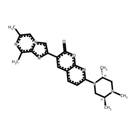 Cc1cn2cc(-c3cc4ccc(N5C[C@H](C)N(C)C[C@H]5C)nc4oc3=O)nc2c(C)n1